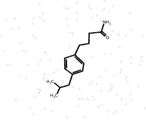 CC(C)Cc1ccc(CCCC(N)=O)cc1